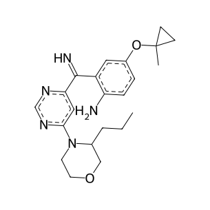 CCCC1COCCN1c1cc(C(=N)c2cc(OC3(C)CC3)ccc2N)ncn1